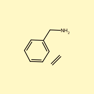 C=C.NCc1ccccc1